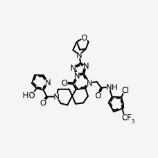 O=C(Cn1c2c(c(=O)n3nc(N4CC5CC4CO5)nc13)C1(CCC2)CCN(C(=O)c2ncccc2O)CC1)Nc1ccc(C(F)(F)F)cc1Cl